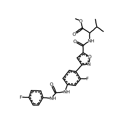 COC(=O)C(NC(=O)c1cc(-c2ccc(NC(=O)Nc3ccc(F)cc3)cc2F)no1)C(C)C